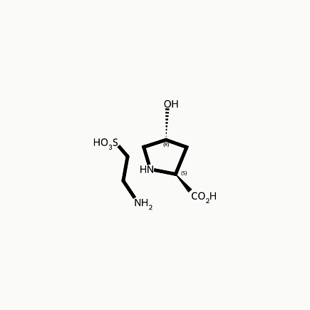 NCCS(=O)(=O)O.O=C(O)[C@@H]1C[C@@H](O)CN1